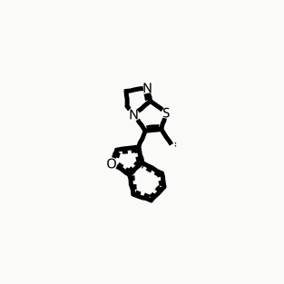 [CH]C1=C(c2coc3ccccc23)N2CCN=C2S1